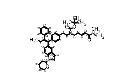 CC/C(=C(/c1ccc(CCN(CC/C=C/C(=O)N(C)C)C(=O)OC(C)(C)C)cc1)c1ccc2c(cnn2C2CCCCO2)c1)c1ccccc1